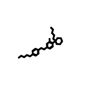 CCCCCc1ccc(CCc2ccc(C3(CCCCC)CCCCC3)c(C)c2)cc1